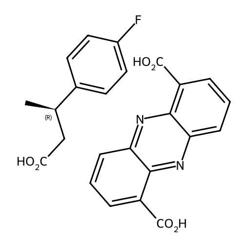 C[C@H](CC(=O)O)c1ccc(F)cc1.O=C(O)c1cccc2nc3c(C(=O)O)cccc3nc12